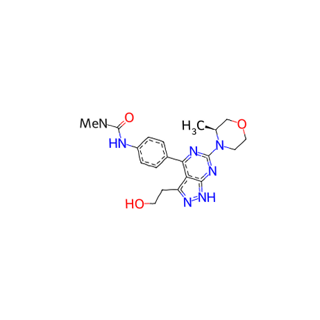 CNC(=O)Nc1ccc(-c2nc(N3CCOC[C@@H]3C)nc3[nH]nc(CCO)c23)cc1